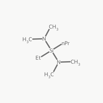 CCC[Si](CC)(N(C)C)N(C)C